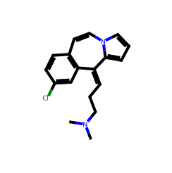 CN(C)CC/C=C1\c2cc(Cl)ccc2C=Cn2cccc21